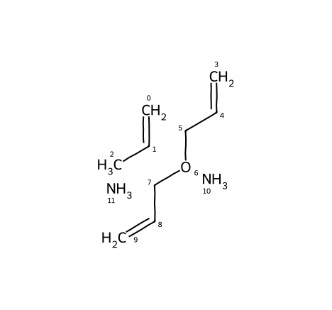 C=CC.C=CCOCC=C.N.N